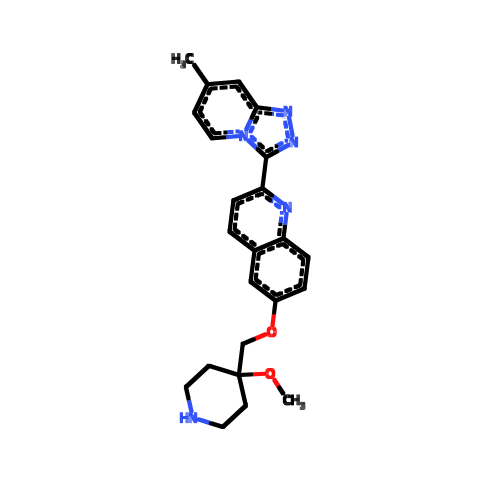 COC1(COc2ccc3nc(-c4nnc5cc(C)ccn45)ccc3c2)CCNCC1